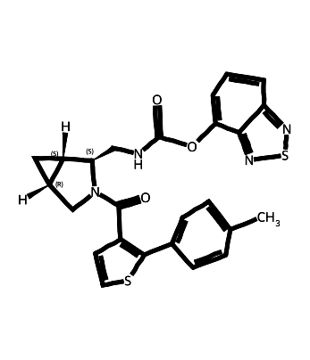 Cc1ccc(-c2sccc2C(=O)N2C[C@@H]3C[C@@H]3[C@H]2CNC(=O)Oc2cccc3nsnc23)cc1